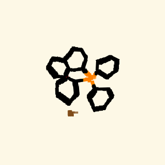 [Br-].c1ccc([P+](c2ccccc2)(c2ccccc2)C2CCCc3ccccc32)cc1